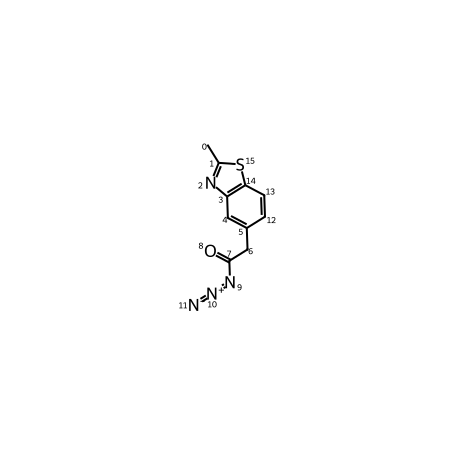 Cc1nc2cc(CC(=O)N=[N+]=[N-])ccc2s1